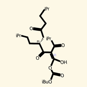 CC(C)CCC(=O)C[C@@H](CCC(C)C)C(=O)/C(C(=O)C(C)C)=C(/O)OC(=O)OCC(C)C